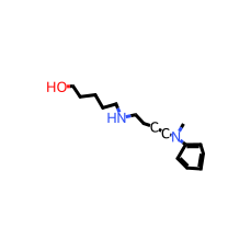 CN(CCCCNCCCCCO)c1ccccc1